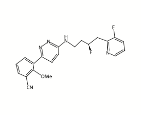 COc1c(C#N)cccc1-c1ccc(NCC[C@H](F)Cc2ncccc2F)nn1